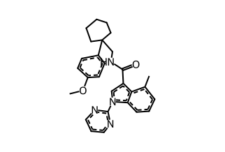 COc1ccc(C2(CNC(=O)c3cn(-c4ncccn4)c4cccc(C)c34)CCCCC2)cc1